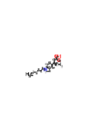 CCCCCCn1ccc2cc(/C(C)=C/C(=O)O)ccc21